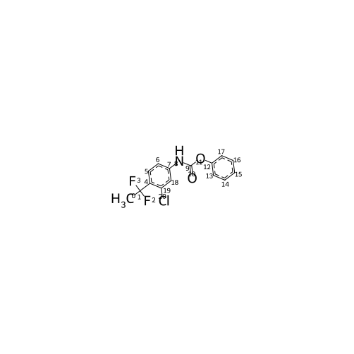 CC(F)(F)c1ccc(NC(=O)Oc2ccccc2)cc1Cl